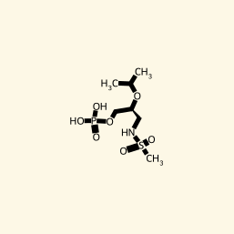 CC(C)O[C@@H](CNS(C)(=O)=O)COP(=O)(O)O